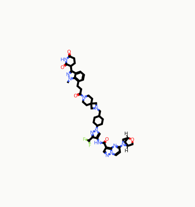 Cn1nc(C2CCC(=O)NC2=O)c2cccc(CCC(=O)N3CCC4(CC3)CN(CC3CCC(n5cc(NC(=O)c6cnn7ccc(N8C[C@H]9C[C@@H]8CO9)nc67)c(C(F)F)n5)CC3)C4)c21